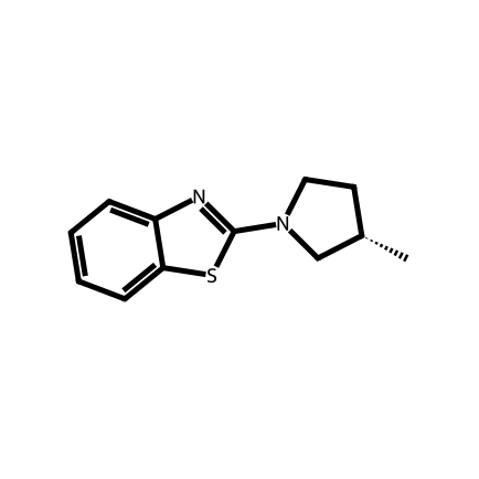 C[C@H]1CCN(c2nc3ccccc3s2)C1